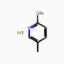 CC(=O)Oc1ccc(C)cn1.Cl